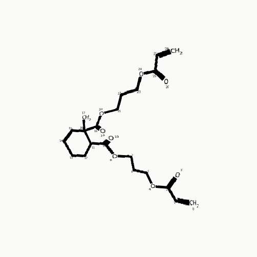 C=CC(=O)OCCCOC(=O)C1CCCCC1(C)C(=O)OCCCOC(=O)C=C